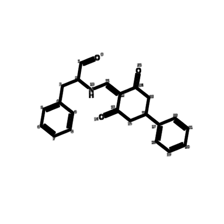 O=CC(Cc1ccccc1)NC=C1C(=O)CC(c2ccccc2)CC1=O